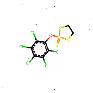 S=P1(Oc2c(Cl)c(Cl)c(Cl)c(Cl)c2Cl)SCCS1